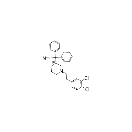 N#CC(c1ccccc1)(c1ccccc1)[C@H]1CCCN(CCc2ccc(Cl)c(Cl)c2)C1